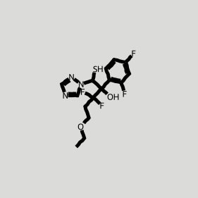 CCOCCC(F)(F)C(O)(c1ccc(F)cc1F)C(S)n1cncn1